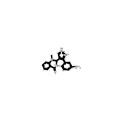 CN1c2ccccc2C(=O)NC1c1c[nH]nc1-c1cccc(N)c1